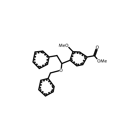 COC(=O)c1ccc(C(Cc2ccccc2)OCc2ccccc2)c(OC)c1